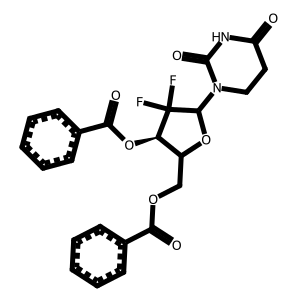 O=C1CCN(C2OC(COC(=O)c3ccccc3)[C@@H](OC(=O)c3ccccc3)C2(F)F)C(=O)N1